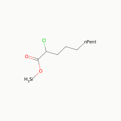 CCCCCCCCC(Cl)C(=O)O[SiH3]